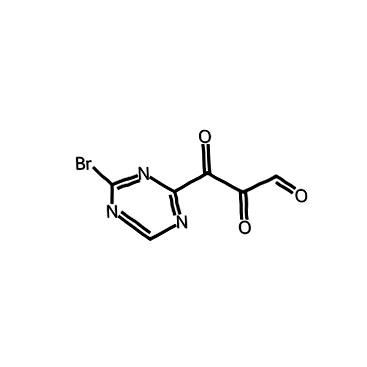 O=CC(=O)C(=O)c1ncnc(Br)n1